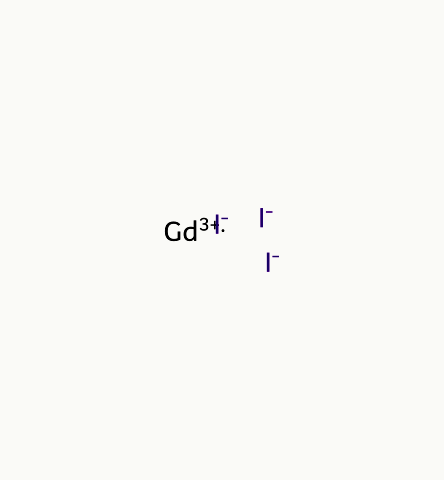 [Gd+3].[I-].[I-].[I-]